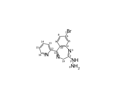 NNC1=Nc2cc(Br)ccc2C(c2ccccn2)=NC1